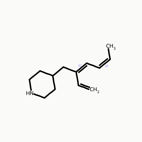 C=C/C(=C\C=C/C)CC1CCNCC1